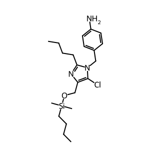 CCCCc1nc(CO[Si](C)(C)CCCC)c(Cl)n1Cc1ccc(N)cc1